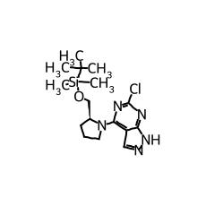 CC(C)(C)[Si](C)(C)OC[C@@H]1CCCN1c1nc(Cl)nc2[nH]ncc12